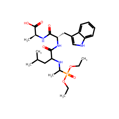 CCOP(=O)(OCC)C(C)NC(CC(C)C)C(=O)N[C@@H](Cc1c[nH]c2ccccc12)C(=O)N[C@@H](C)C(=O)O